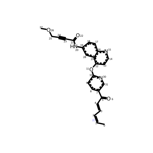 C/C=C\C=CC(=O)c1ccc(Oc2ccnc3ccc(NC(=O)C#CCOC)cc23)nc1